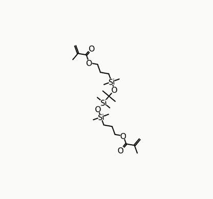 C=C(C)C(=O)OCCC[Si](C)(C)OC(C)(C)[Si](C)(C)O[Si](C)(C)CCCOC(=O)C(=C)C